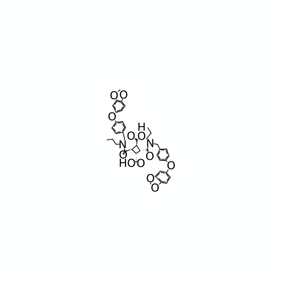 CCCN(Cc1ccc(Oc2ccc3c(c2)OCO3)cc1)C(=O)[C@H]1[C@H](C(=O)O)[C@H](C(=O)N(CCC)Cc2ccc(Oc3ccc4c(c3)OCO4)cc2)[C@H]1C(=O)O